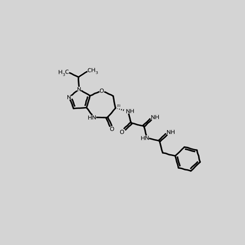 CC(C)n1ncc2c1OC[C@H](NC(=O)C(=N)NC(=N)Cc1ccccc1)C(=O)N2